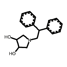 OC1CN(CC(c2ccccc2)c2ccccc2)CC1O